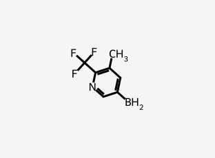 Bc1cnc(C(F)(F)F)c(C)c1